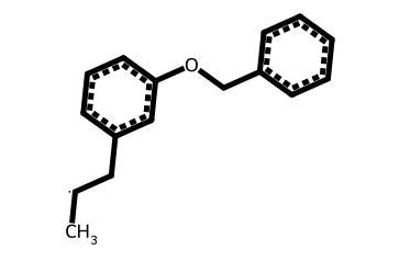 C[CH]Cc1cccc(OCc2ccccc2)c1